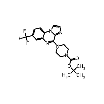 CC(C)(C)OC(=O)N1CCN(c2nc3cc(C(F)(F)F)ccc3n3ccnc23)CC1